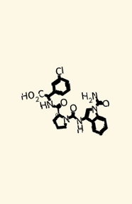 NC(=O)n1cc(NC(=O)N2CCC[C@H]2C(=O)NC(C(=O)O)c2cccc(Cl)c2)c2ccccc21